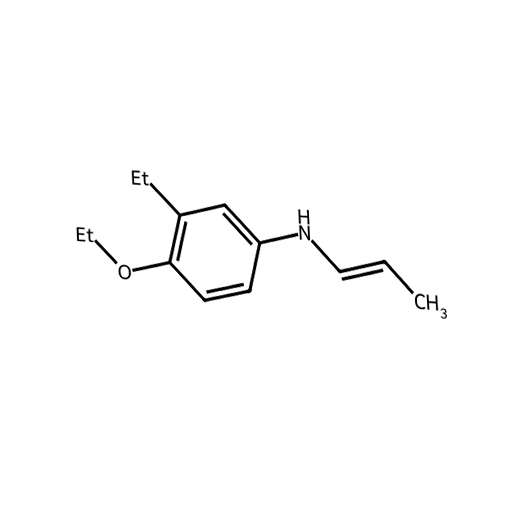 CC=CNc1ccc(OCC)c(CC)c1